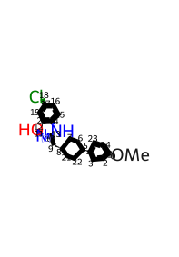 COc1ccc([C@H]2CC[C@@H](C/C(=N/O)Nc3ccc(Cl)cc3)CC2)cc1